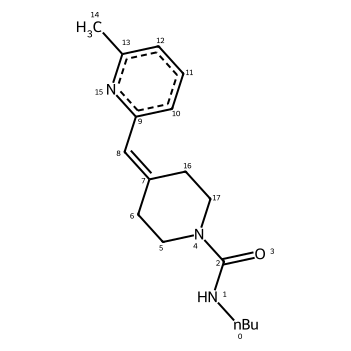 CCCCNC(=O)N1CCC(=Cc2cccc(C)n2)CC1